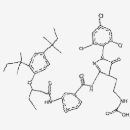 CCC(Oc1ccc(C(C)(C)CC)cc1C(C)(C)CC)C(=O)Nc1cccc(C(=O)NC2=NN(c3c(Cl)cc(Cl)cc3Cl)C(=O)C2CCNC(=O)O)c1